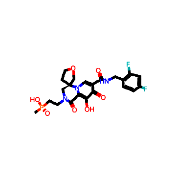 CP(=O)(O)CCN1C[C@]2(CCOC2)n2cc(C(=O)NCc3ccc(F)cc3F)c(=O)c(O)c2C1=O